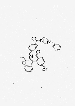 CCC(=O)c1c(-c2ccccc2)c2cc(Br)ccc2c(=O)n1Cc1ccc(C(=O)N2CCN(Cc3ccccc3)CC2)cc1